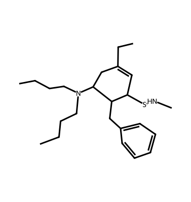 CCCCN(CCCC)C1CC(CC)=CC(SNC)C1Cc1ccccc1